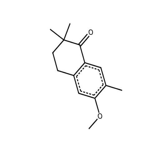 COc1cc2c(cc1C)C(=O)C(C)(C)CC2